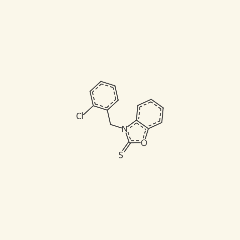 S=c1oc2ccccc2n1Cc1ccccc1Cl